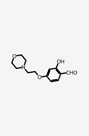 O=Cc1ccc(OCCN2CCOCC2)cc1O